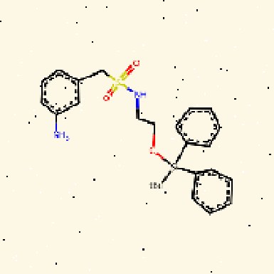 CC(C)(C)[Si](OCCNS(=O)(=O)Cc1cccc(N)c1)(c1ccccc1)c1ccccc1